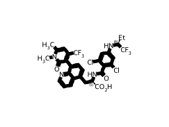 CC[C@@H](Nc1cc(Cl)c(C(=O)N[C@@H](Cc2ccc(-c3c(C(F)(F)F)cc(C)n(C)c3=O)c3ncccc23)C(=O)O)c(Cl)c1)C(F)(F)F